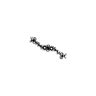 C=C(C)C(=O)OCCSCCSc1ccc(S(=O)(=O)c2ccc(SCCSCCOC(=O)C(=C)C)cc2)cc1